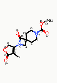 CC1=C(N2CC3(CCN(C(=O)OC(C)(C)C)CC3)C2=O)COC1=O